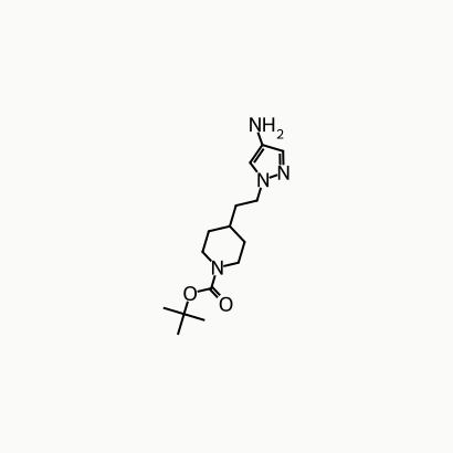 CC(C)(C)OC(=O)N1CCC(CCn2cc(N)cn2)CC1